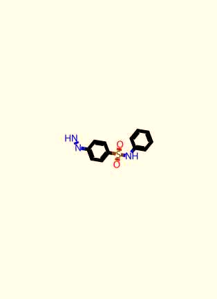 N=Nc1ccc(S(=O)(=O)Nc2ccccc2)cc1